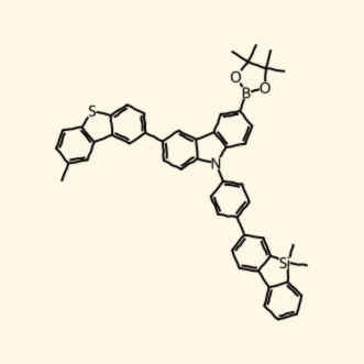 Cc1ccc2sc3ccc(-c4ccc5c(c4)c4cc(B6OC(C)(C)C(C)(C)O6)ccc4n5-c4ccc(-c5ccc6c(c5)[Si](C)(C)c5ccccc5-6)cc4)cc3c2c1